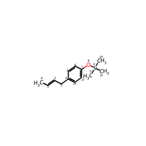 CC=CCc1ccc(O[Si](C)(C)C)cc1